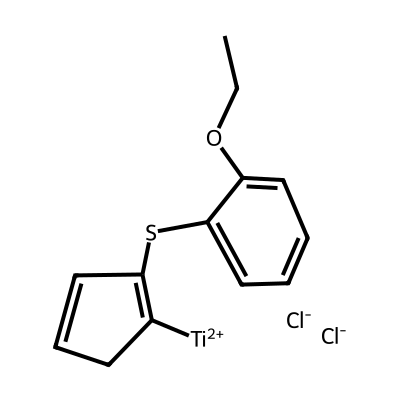 CCOc1ccccc1SC1=[C]([Ti+2])CC=C1.[Cl-].[Cl-]